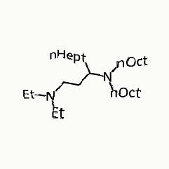 CCCCCCCCN(CCCCCCCC)C(CCCCCCC)CCN(CC)CC